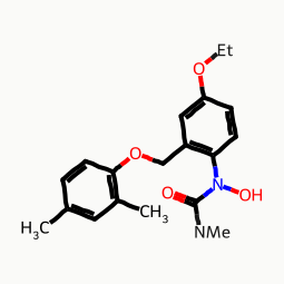 CCOc1ccc(N(O)C(=O)NC)c(COc2ccc(C)cc2C)c1